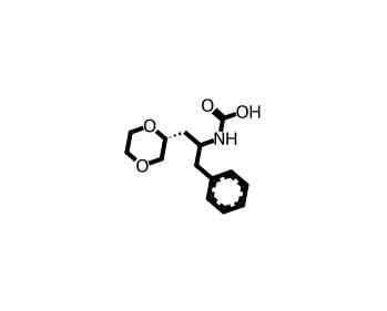 O=C(O)NC(Cc1ccccc1)C[C@@H]1COCCO1